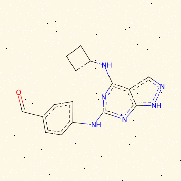 O=Cc1ccc(Nc2nc(NC3CCC3)c3cn[nH]c3n2)cc1